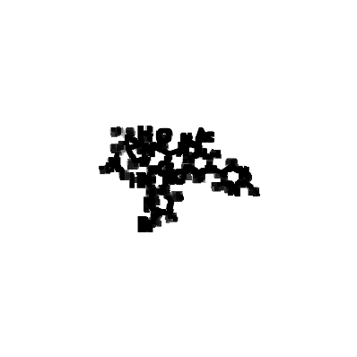 CC(=O)c1nn(CC(=O)N2[C@H]3[C@@H](C)[C@]3(CN(C)C)C[C@H]2C(=O)Nc2nc(Br)ccc2C)c2c(C#N)cc(-c3cnc(C)nc3)cc12